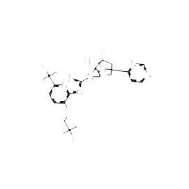 FC(F)(F)COc1ccc(C(F)(F)F)n2nc(N3[C@H]4[C@H]5CC[C@]43CN(c3ccncn3)C5)nc12